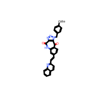 COc1ccc(Cn2nnc3c(=O)[nH]c4cc(C=Cc5ccc6ccccc6n5)ccc4c(=O)c32)cc1